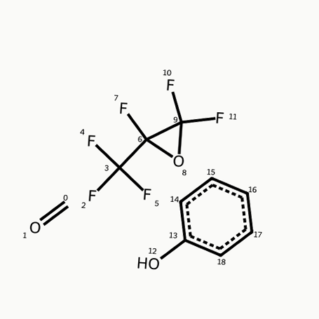 C=O.FC(F)(F)C1(F)OC1(F)F.Oc1ccccc1